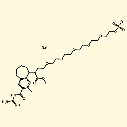 COC(=O)N(CCOCCOCCOCCOCCOCCOS(=O)(=O)[O-])C1CCCCc2cc(C(=O)NC(=N)N)c(C)nc21.[Na+]